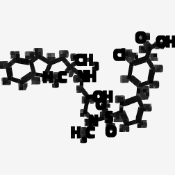 CN(C[C@H](O)CNC(C)(C)CC1Cc2ccccc2C1)S(=O)(=O)c1cccc(-c2ccc(C(=O)O)c(Cl)c2)c1